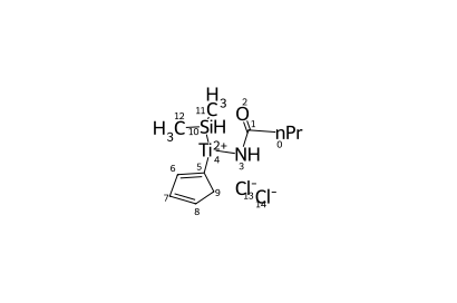 CCCC(=O)[NH][Ti+2]([C]1=CC=CC1)[SiH](C)C.[Cl-].[Cl-]